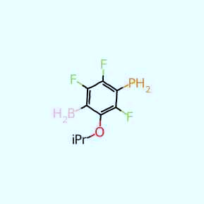 Bc1c(F)c(F)c(P)c(F)c1OC(C)C